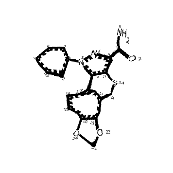 NC(=O)c1nn(-c2ccccc2)c2c1SCc1c-2ccc2c1OCO2